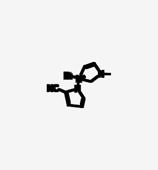 CC[N+]1(n2cccc2C#N)C=CN(C)C1